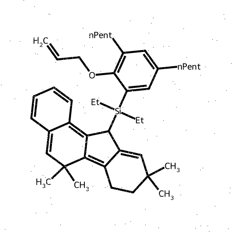 C=CCOc1c(CCCCC)cc(CCCCC)cc1[Si](CC)(CC)C1C2=CC(C)(C)CCC2=C2C1=c1ccccc1=CC2(C)C